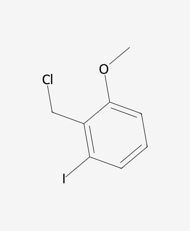 COc1cccc(I)c1CCl